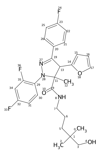 CC(C)(CO)CCCNC(=O)C1(C)C(c2ccco2)C(c2ccc(F)cc2)=NN1c1ccc(F)cc1F